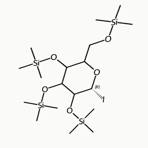 C[Si](C)(C)OCC1O[C@H](I)C(O[Si](C)(C)C)C(O[Si](C)(C)C)C1O[Si](C)(C)C